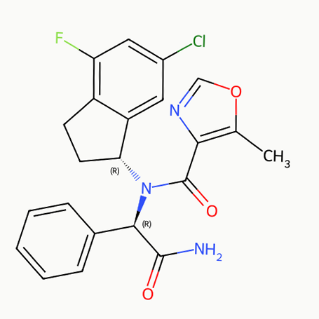 Cc1ocnc1C(=O)N([C@@H]1CCc2c(F)cc(Cl)cc21)[C@@H](C(N)=O)c1ccccc1